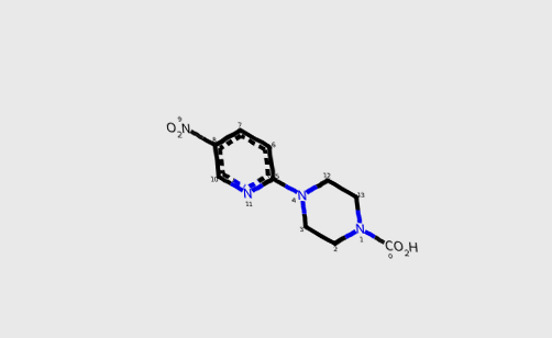 O=C(O)N1CCN(c2ccc([N+](=O)[O-])cn2)CC1